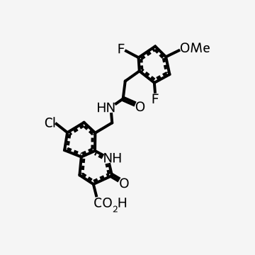 COc1cc(F)c(CC(=O)NCc2cc(Cl)cc3cc(C(=O)O)c(=O)[nH]c23)c(F)c1